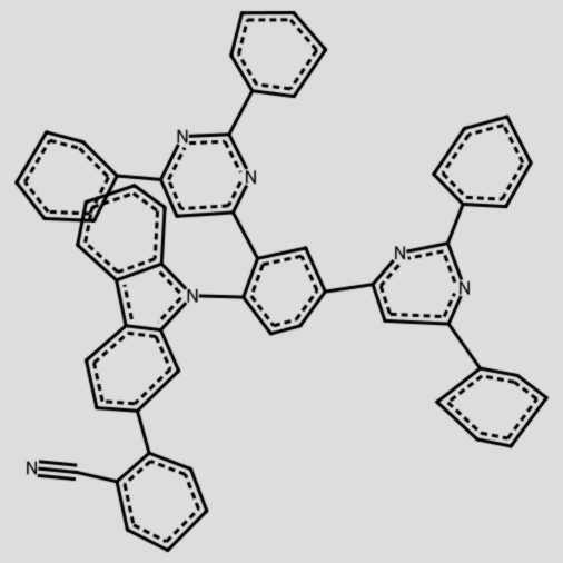 N#Cc1ccccc1-c1ccc2c3ccccc3n(-c3ccc(-c4cc(-c5ccccc5)nc(-c5ccccc5)n4)cc3-c3cc(-c4ccccc4)nc(-c4ccccc4)n3)c2c1